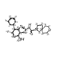 O=C(Nc1nc2c(O)nc(F)c(-c3ccccc3)c2s1)N1CCC2(CCOCC2)C1